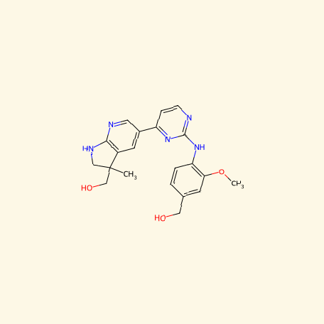 COc1cc(CO)ccc1Nc1nccc(-c2cnc3c(c2)C(C)(CO)CN3)n1